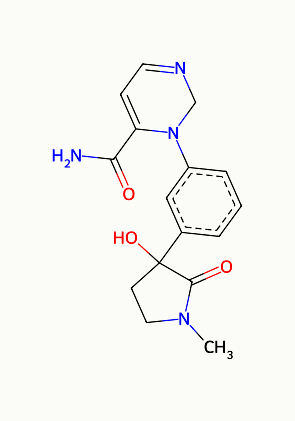 CN1CCC(O)(c2cccc(N3CN=CC=C3C(N)=O)c2)C1=O